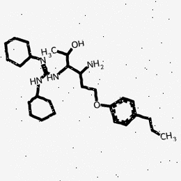 CCCc1ccc(OCCC(N)C(NC(=NC2CCCCC2)NC2CCCCC2)C(C)O)cc1